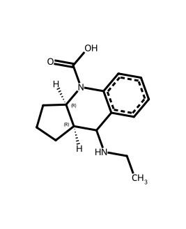 CCNC1c2ccccc2N(C(=O)O)[C@@H]2CCC[C@H]12